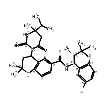 CC(C)C1(C)CC(=O)N(C2CC(C)(C)Oc3ccc(C(=O)N[C@@H]4c5cc(F)ccc5OC(C)(C)[C@H]4O)cc32)C(=N)N1